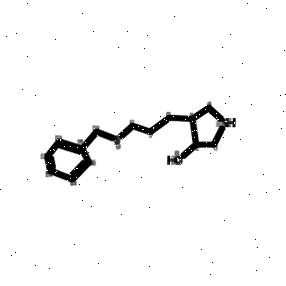 OC1CNCC1CCCSCc1ccccc1